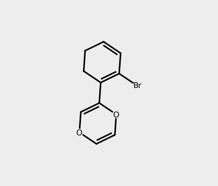 BrC1=C(C2=COC=CO2)CCC=C1